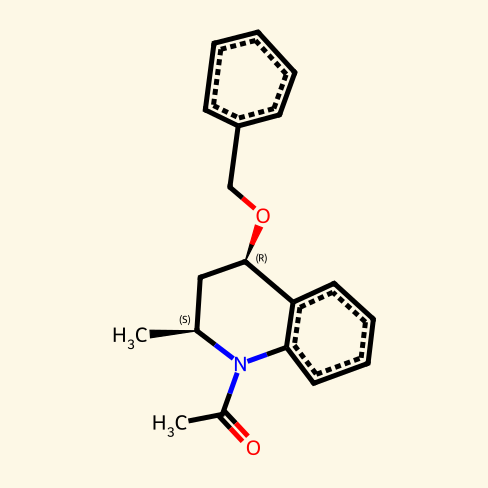 CC(=O)N1c2ccccc2[C@H](OCc2ccccc2)C[C@@H]1C